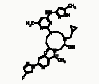 Cc1cc(Nc2cc(C)[nH]n2)nc(N2CCC(=O)N([C@@H](C)c3ccc(-n4cc(F)cn4)nc3)CC(O)N(CC3CC3)CC2)n1